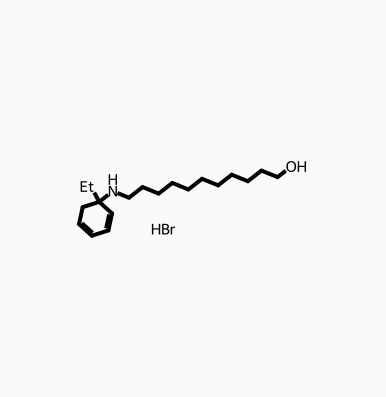 Br.CCC1(NCCCCCCCCCCCO)C=CC=CC1